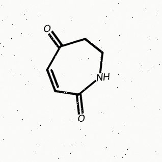 O=C1C=CC(=O)NCC1